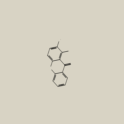 Cc1c(O)ccc2sc3ccccc3c(=O)c12